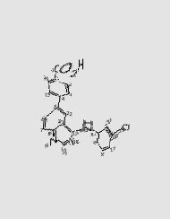 O=C(O)c1ccc(-c2ccc3ncnc(Nc4cccc(Cl)c4)c3c2)cc1